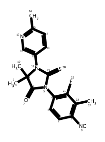 [C-]#[N+]c1ccc(N2C(=O)C(C)(C)N(c3ccc(C)nc3)C2=S)c(F)c1C